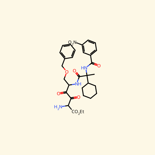 CCOC(=O)C(N)C(=O)C(=O)C(COCc1ccccc1)NC(=O)C(C)(NC(=O)c1cccc([N+](=O)[O-])c1)C1CCCCC1